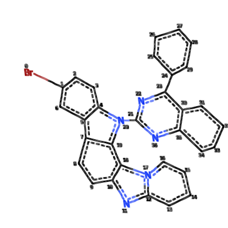 Brc1ccc2c(c1)c1ccc3nc4ccccn4c3c1n2-c1nc(-c2ccccc2)c2ccccc2n1